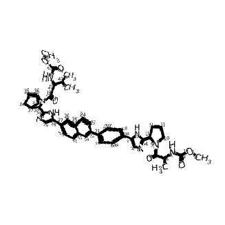 COC(=O)NC(C)C(=O)N1CCCC1c1ncc(-c2ccc(-c3ccc4cc(-c5cnc(C6C7CCC(C7)N6C(=O)C(NC(=O)OC)C(C)C)[nH]5)ccc4c3)cc2)[nH]1